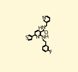 O=C(NCc1cccnc1)c1ccc(-c2ccsc2)nc1NCCc1cccc(F)c1